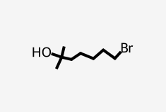 CC(C)(O)CCCCCBr